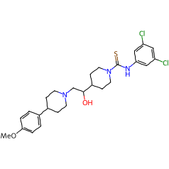 COc1ccc(C2CCN(CC(O)C3CCN(C(=S)Nc4cc(Cl)cc(Cl)c4)CC3)CC2)cc1